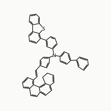 C1=Cc2ccc3ccc4cccc(C=Cc5ccc(N(c6ccc(-c7ccccc7)cc6)c6cccc(-c7cccc8c7sc7ccccc78)c6)cc5)c4c3c2CC1